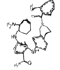 NC(=O)c1cnc(NC2CCCCC2N)nc1Nc1ccc2c(c1)CN(C(=O)c1ccccc1Cl)CC2